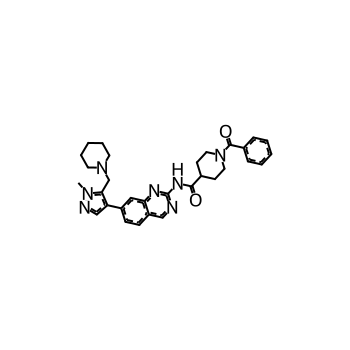 Cn1ncc(-c2ccc3cnc(NC(=O)C4CCN(C(=O)c5ccccc5)CC4)nc3c2)c1CN1CCCCC1